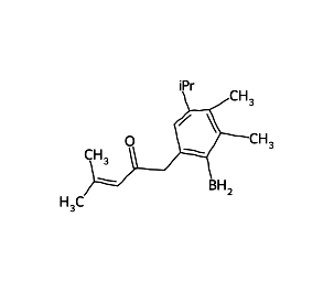 Bc1c(CC(=O)C=C(C)C)cc(C(C)C)c(C)c1C